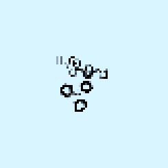 COC(=O)c1ccc(CCl)o1.c1ccc(P(c2ccccc2)c2ccccc2)cc1